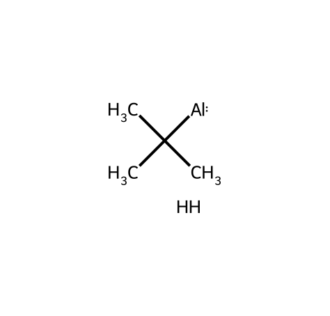 C[C](C)(C)[Al].[HH]